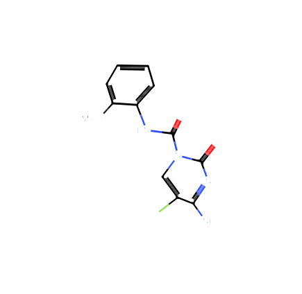 COc1ccccc1NC(=O)n1cc(F)c(N)nc1=O